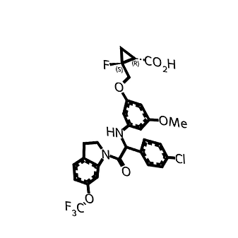 COc1cc(NC(C(=O)N2CCc3ccc(OC(F)(F)F)cc32)c2ccc(Cl)cc2)cc(OC[C@]2(F)C[C@@H]2C(=O)O)c1